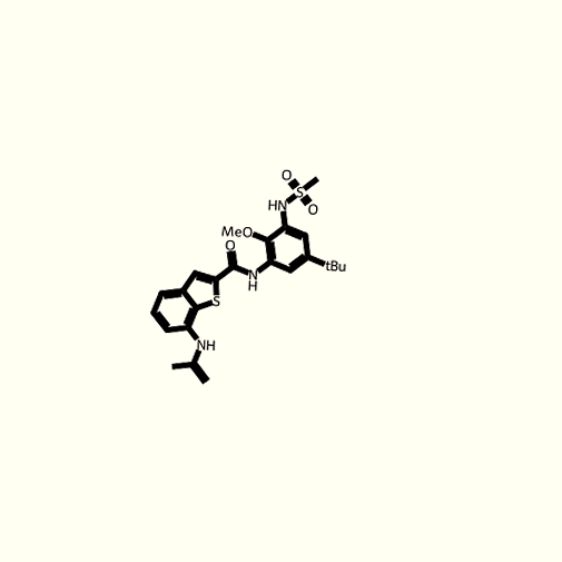 C=C(C)Nc1cccc2cc(C(=O)Nc3cc(C(C)(C)C)cc(NS(C)(=O)=O)c3OC)sc12